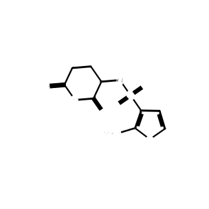 COc1sccc1S(=O)(=O)NC1CCC(=O)NC1=O